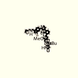 COc1nc(-c2cccc(-c3ccnc(-c4ccc5c(CNC[C@@H]6CCO6)cn(C)c5c4)c3Cl)c2Cl)ccc1CN(C[C@@H]1CCC(=O)N1)C(=O)OC(C)(C)C